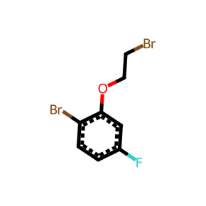 Fc1ccc(Br)c(OCCBr)c1